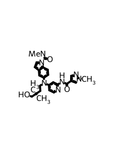 CNC(=O)n1ccc2cc(N(CCC(C)(C)CO)c3ccnc(NC(=O)c4cnn(C)c4)c3)ccc21